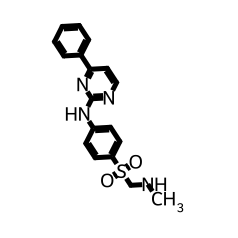 CNCS(=O)(=O)c1ccc(Nc2nccc(-c3ccccc3)n2)cc1